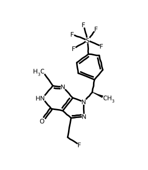 Cc1nc2c(c(CF)nn2[C@H](C)c2ccc(S(F)(F)(F)(F)F)cc2)c(=O)[nH]1